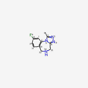 Cc1nnc2n1-c1cc(F)ccc1CNC2